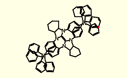 C1=CCCC(N(c2ccccc2)c2ccc(N3C(=C4N(c5ccc(N(c6ccccc6)c6ccccc6)cc5)C5CCCCC5N4c4ccc(N(c5ccccc5)c5ccccc5)cc4)N(c4ccc(N(c5ccccc5)c5ccccc5)cc4)C4CCCCC43)cc2)=C1